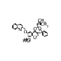 CN(C)CC(=O)O[C@H]1c2cc(OCc3ccc4ccccc4n3)ccc2OC[C@H]1Oc1ccccc1.Cl.Cl